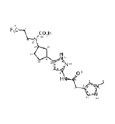 Cn1cc(CC(=O)Nc2cc(C3CCC(N(CCC(F)(F)F)C(=O)O)C3)[nH]n2)cn1